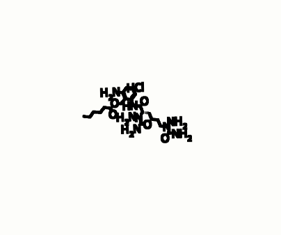 CCCCCC(=O)OCc1c(N)cccc1NC(=O)[C@H](CCCCN(N)C(N)=O)N(N)C(N)=O.Cl